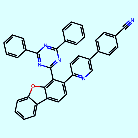 N#Cc1ccc(-c2ccc(-c3ccc4c(oc5ccccc54)c3-c3nc(-c4ccccc4)nc(-c4ccccc4)n3)nc2)cc1